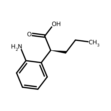 CCC[C@H](C(=O)O)c1ccccc1N